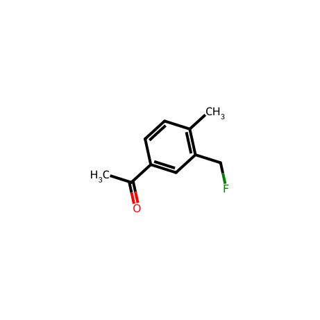 CC(=O)c1ccc(C)c(CF)c1